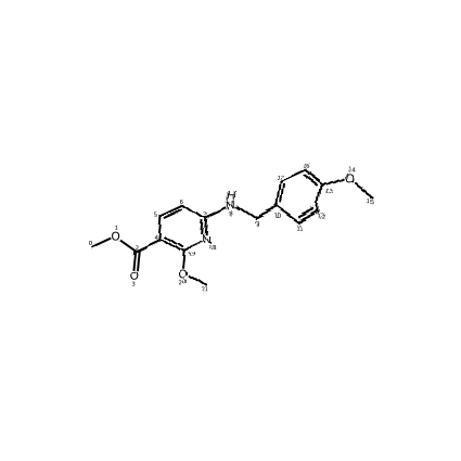 COC(=O)c1ccc(NCc2ccc(OC)cc2)nc1OC